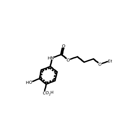 CCOCCCOC(=O)Nc1ccc(C(=O)O)c(O)c1